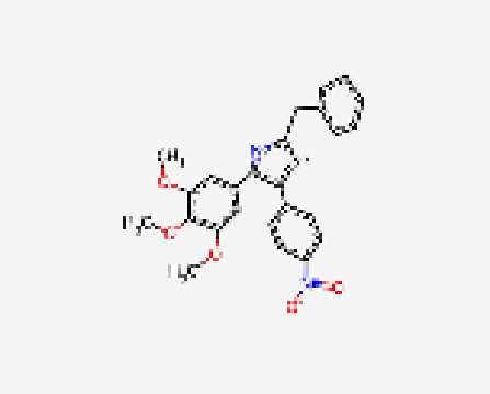 COc1cc(-c2nc(Cc3ccccc3)[se]c2-c2ccc([N+](=O)[O-])cc2)cc(OC)c1OC